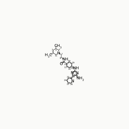 CC1CC(C)CN(CCNC(=O)c2ccc(Nc3nc(N)n(-c4ccccn4)n3)cc2)C1